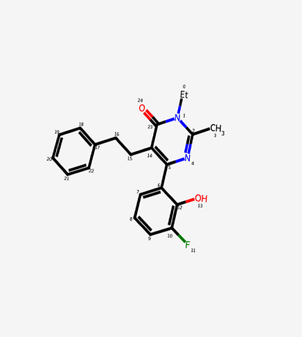 CCn1c(C)nc(-c2cccc(F)c2O)c(CCc2ccccc2)c1=O